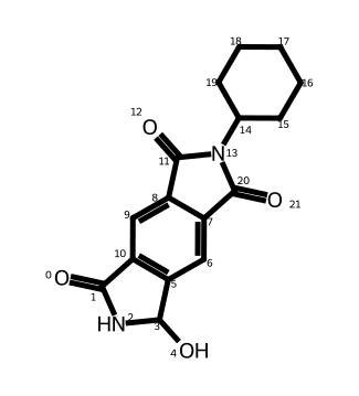 O=C1NC(O)c2cc3c(cc21)C(=O)N(C1CCCCC1)C3=O